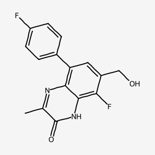 Cc1nc2c(-c3ccc(F)cc3)cc(CO)c(F)c2[nH]c1=O